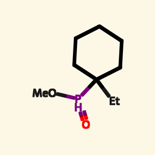 CCC1([PH](=O)OC)CCCCC1